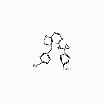 O=C(O)c1ccc(C2(Nc3nccc4c3N(Cc3ccc(C(F)(F)F)cc3)CCO4)CC2)cc1